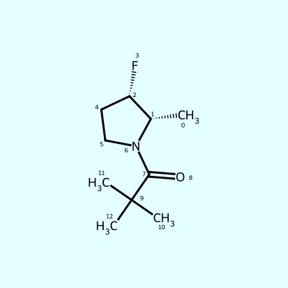 C[C@H]1[C@@H](F)CCN1C(=O)C(C)(C)C